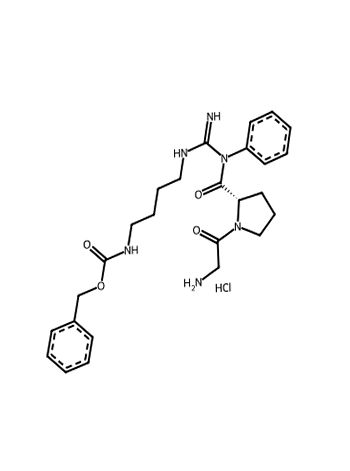 Cl.N=C(NCCCCNC(=O)OCc1ccccc1)N(C(=O)[C@@H]1CCCN1C(=O)CN)c1ccccc1